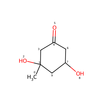 CC1(O)CC(=O)CC(O)C1